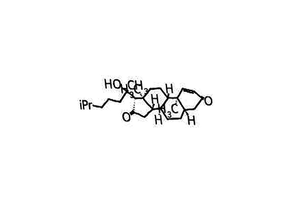 CC(C)CCC[C@](C)(O)[C@H]1C(=O)C[C@H]2[C@@H]3CC[C@H]4CC(=O)C=C[C@]4(C)[C@H]3CC[C@@]21C